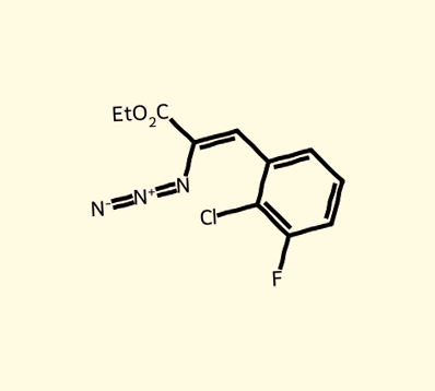 CCOC(=O)/C(=C/c1cccc(F)c1Cl)N=[N+]=[N-]